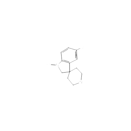 CC(C)N1CC2(CCNCC2)c2cc(Br)ccc21